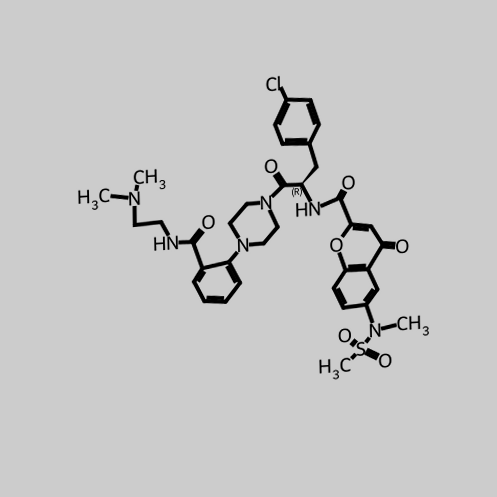 CN(C)CCNC(=O)c1ccccc1N1CCN(C(=O)[C@@H](Cc2ccc(Cl)cc2)NC(=O)c2cc(=O)c3cc(N(C)S(C)(=O)=O)ccc3o2)CC1